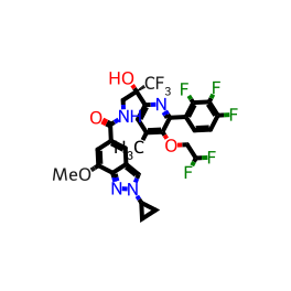 COc1cc(C(=O)NC[C@](O)(c2cc(C)c(OCC(F)F)c(-c3ccc(F)c(F)c3F)n2)C(F)(F)F)cc2cn(C3CC3)nc12